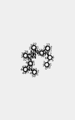 c1ccc(-c2cccc(-n3c4ccccc4c4cc(-n5c6ccccc6n6c7c8ccccc8n(-c8ccc9c(c8)c8ccccc8n9-c8ccccc8)c7nc56)ccc43)c2)cc1